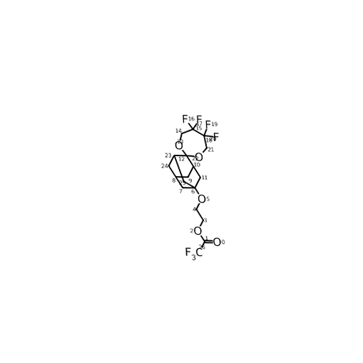 O=C(OCCOC12CC3CC(C1)C1(OCC(F)(F)C(F)(F)CO1)C(C3)C2)C(F)(F)F